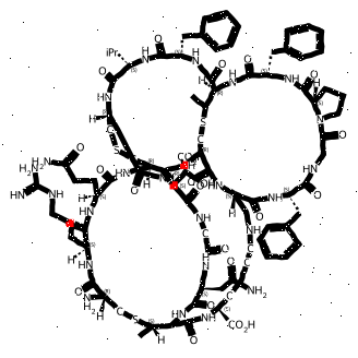 CC(C)[C@@H]1NC(=O)[C@H](Cc2ccccc2)NC(=O)[C@H]2NC(=O)[C@H](Cc3ccccc3)NC(=O)[C@@H]3CCCN3C(=O)CNC(=O)[C@H](Cc3ccccc3)NC(=O)[C@@H]3CNCCCC[C@@H](C(=O)O)NC(=O)C4NC(=O)[C@H](CC(N)=O)NC(=O)CNC(=O)[C@H]([C@@H](O)C(=O)O)NC(=O)[C@H](CSC[C@H](NC(=O)[C@H](CCC(N)=O)NC(=O)[C@H](CCCNC(=N)N)NC(=O)[C@@H](N)CS[C@H]4C)C(=O)N[C@@H](CSC2C)C(=O)N3)NC1=O